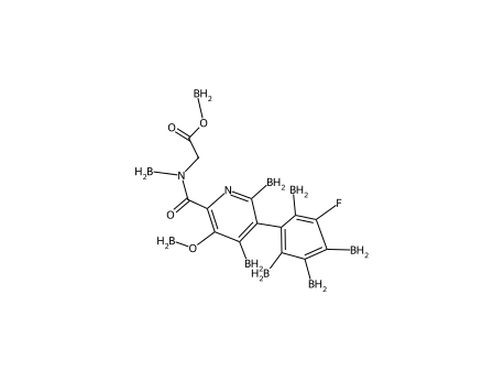 BOC(=O)CN(B)C(=O)c1nc(B)c(-c2c(B)c(B)c(B)c(F)c2B)c(B)c1OB